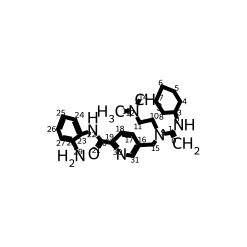 C=C(NC1CCCCC1)N(CCN(C)C)Cc1ccc(C(=O)Nc2ccccc2N)nc1